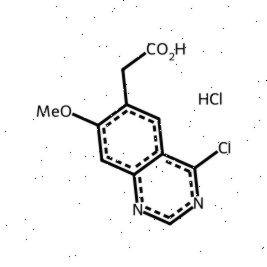 COc1cc2ncnc(Cl)c2cc1CC(=O)O.Cl